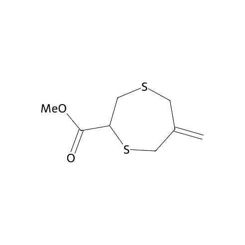 C=C1CSCC(C(=O)OC)SC1